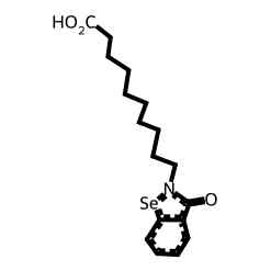 O=C(O)CCCCCCCCCn1[se]c2ccccc2c1=O